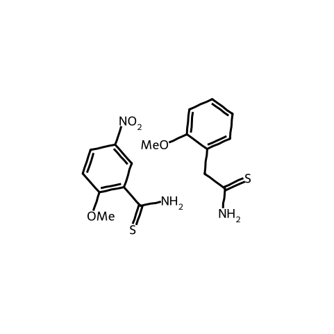 COc1ccc([N+](=O)[O-])cc1C(N)=S.COc1ccccc1CC(N)=S